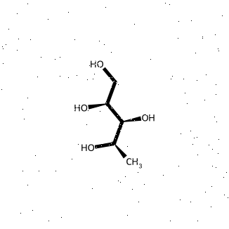 C[C@@H](O)[C@H](O)[C@@H](O)CO